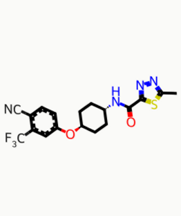 Cc1nnc(C(=O)N[C@H]2CC[C@H](Oc3ccc(C#N)c(C(F)(F)F)c3)CC2)s1